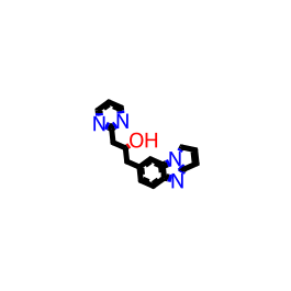 OC(Cc1ccc2nc3n(c2c1)CC=C3)Cc1ncccn1